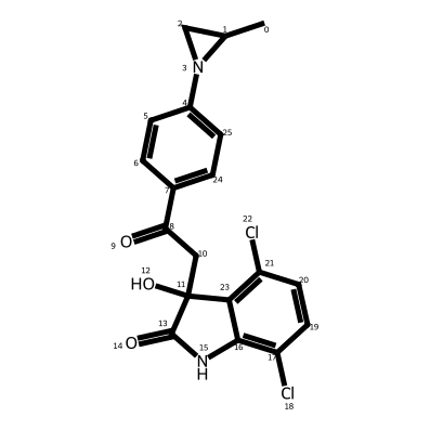 CC1CN1c1ccc(C(=O)CC2(O)C(=O)Nc3c(Cl)ccc(Cl)c32)cc1